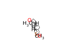 CSC[C@]12CCC(=O)CC1CC[C@@H]1[C@@H]2CC[C@]2(C)C(=O)CC[C@@H]12